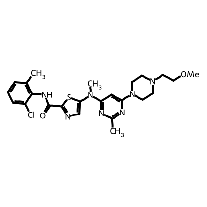 COCCN1CCN(c2cc(N(C)c3cnc(C(=O)Nc4c(C)cccc4Cl)s3)nc(C)n2)CC1